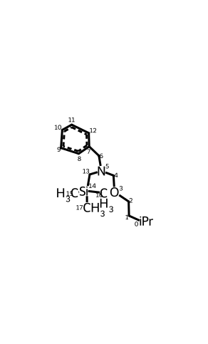 CC(C)CCOCN(Cc1ccccc1)C[Si](C)(C)C